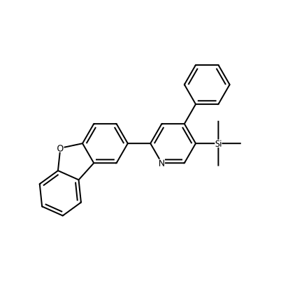 C[Si](C)(C)c1cnc(-c2ccc3oc4ccccc4c3c2)cc1-c1ccccc1